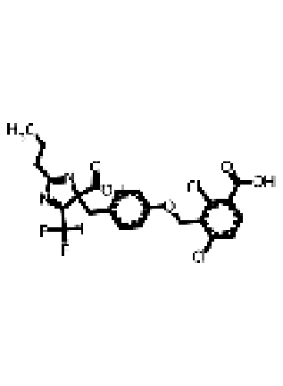 CCCC1=NC(Cc2ccc(OCc3c(Cl)ccc(C(=O)O)c3Cl)cc2)(C(=O)O)C(C(F)(F)F)=N1